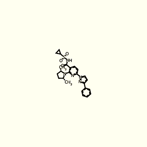 C[C@@H]1CC[C@H](C)N1c1nc(-n2ccc(-c3ccccc3)n2)ccc1C(=O)NS(=O)(=O)C1CC1